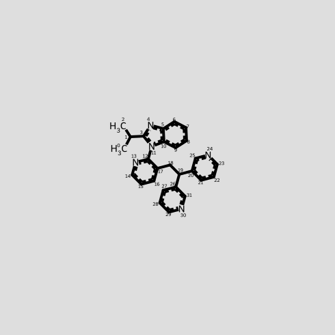 CC(C)c1nc2ccccc2n1-c1ncccc1CC(c1cccnc1)c1cccnc1